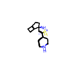 NC1(/C=C(\S)C2CCNCC2)CCC2CCC21